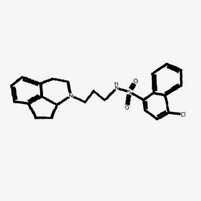 O=S(=O)(NCCCN1CCc2cccc3c2C1CC3)c1ccc(Cl)c2ccccc12